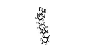 Cc1cccnc1-c1cc2n(n1)CCN(Cc1cnc(C(F)F)nc1)C2